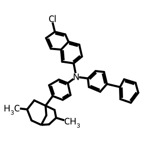 CC1CC2CC(C)CC(c3ccc(N(c4ccc(-c5ccccc5)cc4)c4ccc5cc(Cl)ccc5c4)cc3)(C1)C2